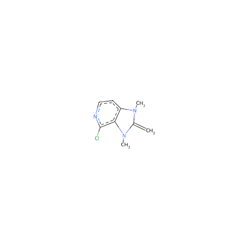 C=C1N(C)c2ccnc(Cl)c2N1C